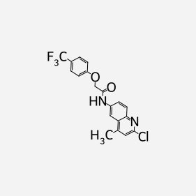 Cc1cc(Cl)nc2ccc(NC(=O)COc3ccc(C(F)(F)F)cc3)cc12